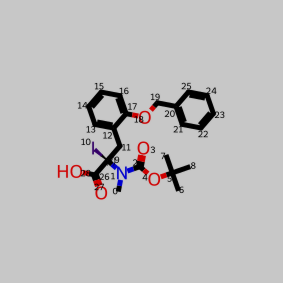 CN(C(=O)OC(C)(C)C)[C@@](I)(Cc1ccccc1OCc1ccccc1)C(=O)O